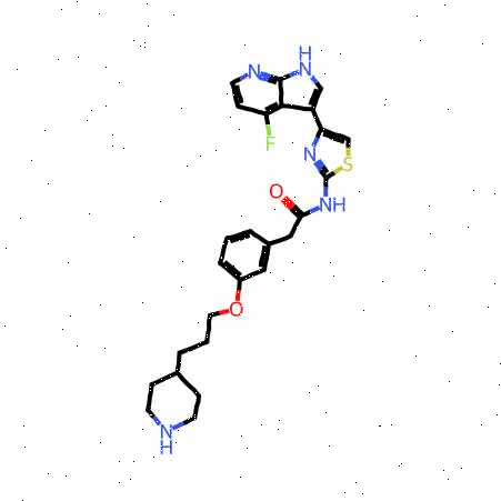 O=C(Cc1cccc(OCCCC2CCNCC2)c1)Nc1nc(-c2c[nH]c3nccc(F)c23)cs1